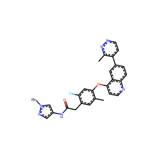 Cc1cc(CC(=O)Nc2cnn(C(C)(C)C)c2)c(F)cc1Oc1ccnc2ccc(-c3ccnnc3C)cc12